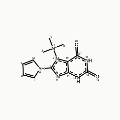 C[N+](C)(C)n1c([SH]2C=CC=C2)nc2[nH]c(=O)[nH]c(=O)c21